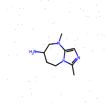 Cc1ncc2n1CCC(N)CN2C